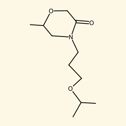 CC(C)OCCCN1CC(C)OCC1=O